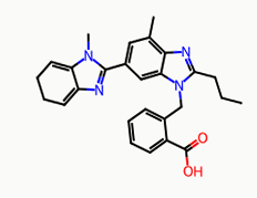 CCCc1nc2c(C)cc(-c3nc4c(n3C)=CCCC=4)cc2n1Cc1ccccc1C(=O)O